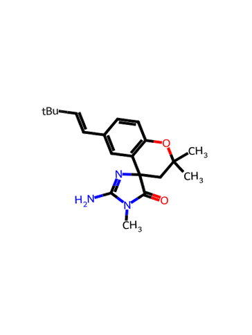 CN1C(=O)C2(CC(C)(C)Oc3ccc(/C=C/C(C)(C)C)cc32)N=C1N